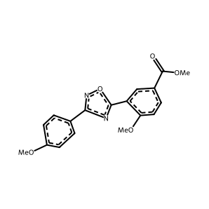 COC(=O)c1ccc(OC)c(-c2nc(-c3ccc(OC)cc3)no2)c1